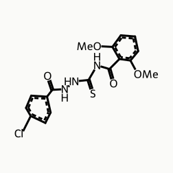 COc1cccc(OC)c1C(=O)NC(=S)NNC(=O)c1ccc(Cl)cc1